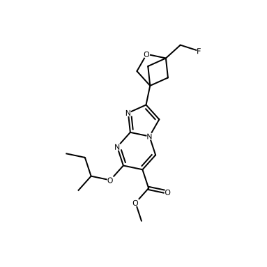 CCC(C)Oc1nc2nc(C34COC(CF)(C3)C4)cn2cc1C(=O)OC